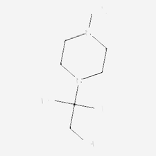 CC(C)(CO)N1CCN(C(=O)O)CC1